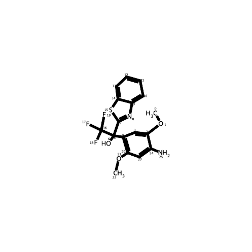 COc1cc(C(O)(c2nc3ccccc3s2)C(F)(F)F)c(OC)cc1N